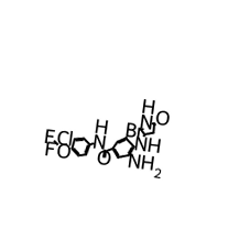 Nc1cc(C(=O)Nc2ccc(OC(F)(F)Cl)cc2)cc(Br)c1NC1CNC(=O)C1